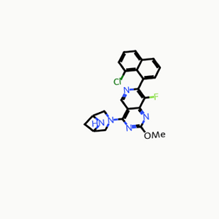 COc1nc(N2CC3CC(C2)N3)c2cnc(-c3cccc4cccc(Cl)c34)c(F)c2n1